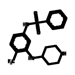 O=S(=O)(Nc1ccc(C(F)(F)F)c(NC2CCNCC2)c1)c1ccccc1